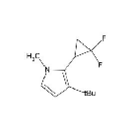 Cn1ccc(C(C)(C)C)c1C1CC1(F)F